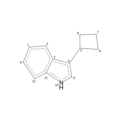 c1ccc2c(C3CCC3)c[nH]c2c1